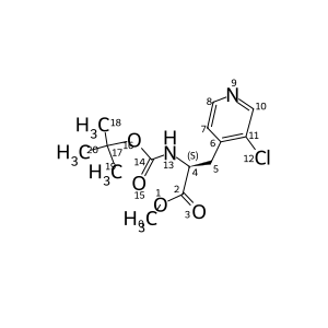 COC(=O)[C@H](Cc1ccncc1Cl)NC(=O)OC(C)(C)C